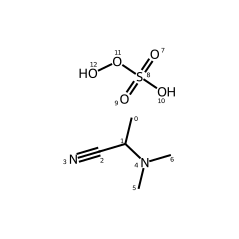 CC(C#N)N(C)C.O=S(=O)(O)OO